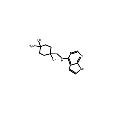 CC1(C)CCC(O)(CNc2ncnc3[nH]ccc23)CC1